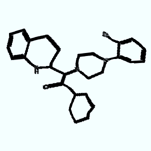 CCc1ccccc1N1CCN(C(C(=O)C2CCCCC2)C2CCc3ccccc3N2)CC1